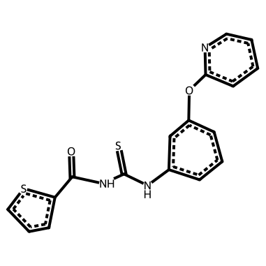 O=C(NC(=S)Nc1cccc(Oc2ccccn2)c1)c1cccs1